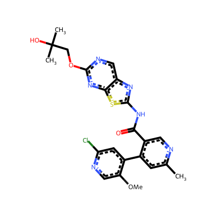 COc1cnc(Cl)cc1-c1cc(C)ncc1C(=O)Nc1nc2cnc(OCC(C)(C)O)nc2s1